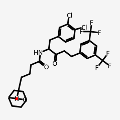 O=C(CCCN1CC2CCC(CC2)C1)NC(Cc1ccc(Cl)c(Cl)c1)C(=O)CCc1cc(C(F)(F)F)cc(C(F)(F)F)c1